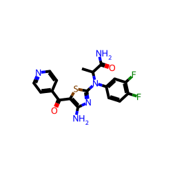 CC(C(N)=O)N(c1ccc(F)c(F)c1)c1nc(N)c(C(=O)c2ccncc2)s1